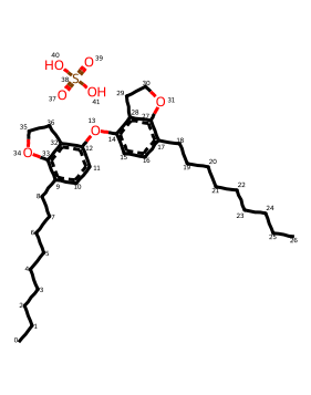 CCCCCCCCCc1ccc(Oc2ccc(CCCCCCCCC)c3c2CCO3)c2c1OCC2.O=S(=O)(O)O